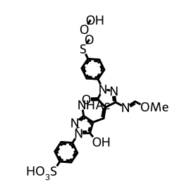 CO/C=N/C1=NN(c2ccc(SOOO)cc2)C(=O)/C1=C\c1c(NC(C)=O)nn(-c2ccc(S(=O)(=O)O)cc2)c1O